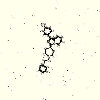 Clc1ccc(-c2nc(C3CCN(CCc4ccccc4)CC3)n3ccccc23)cc1